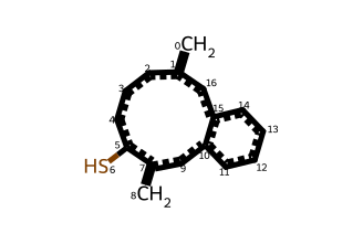 C=c1cccc(S)c(=C)cc2ccccc2c1